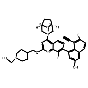 C#Cc1c(F)ccc2cc(O)cc(-c3ncc4c(N5C[C@H]6CC[C@@H](C5)N6)nc(OCC5CCN(CO)CC5)nc4c3F)c12